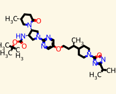 CC(C)c1noc(N2CCC([C@H](C)CCOc3cnc(N4C[C@H](NC(=O)OC(C)(C)C)[C@H](N5C[C@H](C)CCC5=O)C4)nc3)CC2)n1